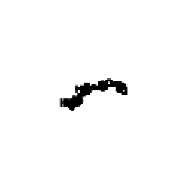 C(=Cc1cc(C=Cc2ccc3cc[nH]c3c2)[nH]n1)c1ccc(OCCN2CCOCC2)cc1